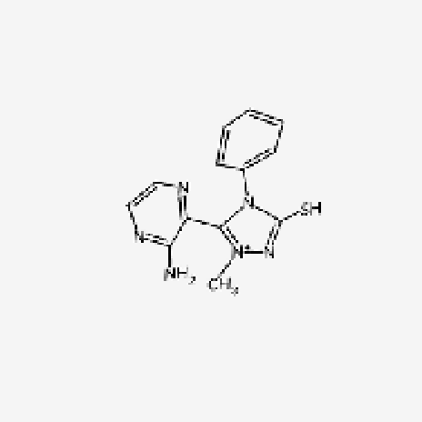 C[n+]1nc(S)n(-c2ccccc2)c1-c1nccnc1N